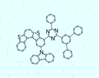 c1ccc(-c2cc(-c3ccccc3)cc(-c3nc(-c4ccccc4)nc(-c4cc(-n5c6ccccc6c6ccccc65)cc5c4sc4ccc6sc7ccccc7c6c45)n3)c2)cc1